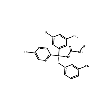 CC(C)NC(=O)N[C@](Cc1cccc(C#N)c1)(c1cc(F)cc(C(F)(F)F)c1)c1ccc(Cl)cn1